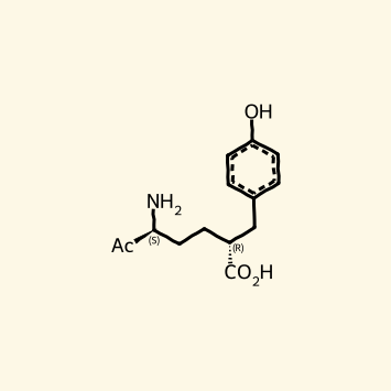 CC(=O)[C@@H](N)CC[C@H](Cc1ccc(O)cc1)C(=O)O